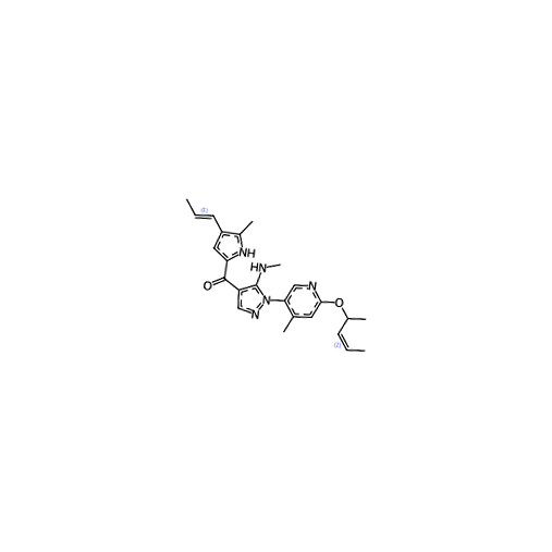 C/C=C\C(C)Oc1cc(C)c(-n2ncc(C(=O)c3cc(/C=C/C)c(C)[nH]3)c2NC)cn1